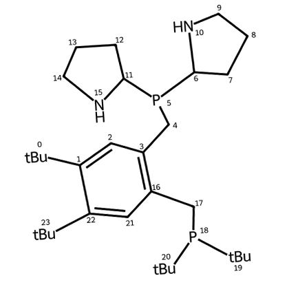 CC(C)(C)c1cc(CP(C2CCCN2)C2CCCN2)c(CP(C(C)(C)C)C(C)(C)C)cc1C(C)(C)C